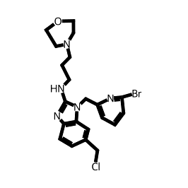 ClCc1ccc2nc(NCCCN3CCOCC3)n(Cc3cccc(Br)n3)c2c1